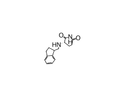 O=C1CC[C@H](NCC2CCc3ccccc32)C(=O)N1